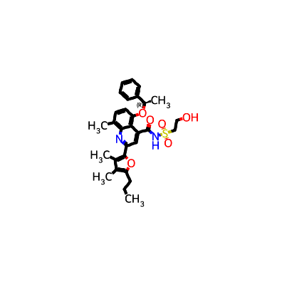 CCCc1oc(-c2cc(C(=O)NS(=O)(=O)CCO)c3c(O[C@H](C)c4ccccc4)ccc(C)c3n2)c(C)c1C